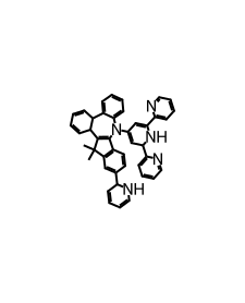 CC1(C)C2=C(c3ccc(C4C=CC=CN4)cc31)N(C1=CC(c3ccccn3)NC(c3ccccn3)=C1)c1ccccc1C1C=CC=CC21